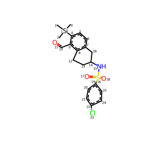 C[Si](C)(C)c1ccc2c(c1C=O)CCC(NS(=O)(=O)c1ccc(Cl)cc1)C2